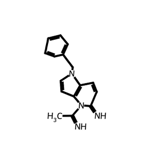 CC(=N)n1c(=N)ccc2c1ccn2Cc1ccccc1